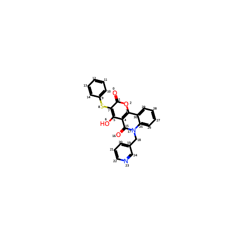 O=c1oc2c(c(O)c1Sc1ccccc1)c(=O)n(Cc1cccnc1)c1ccccc21